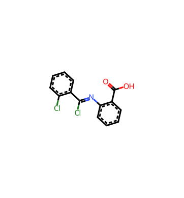 O=C(O)c1ccccc1N=C(Cl)c1ccccc1Cl